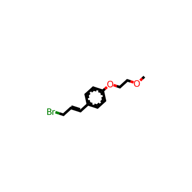 COCCOc1ccc(/C=C/CBr)cc1